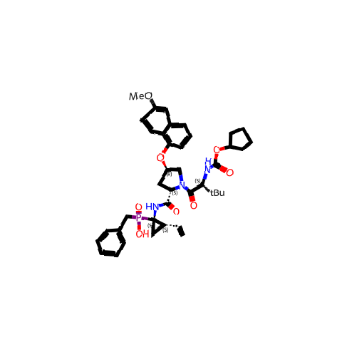 C=C[C@@H]1C[C@]1(NC(=O)[C@@H]1C[C@@H](Oc2cccc3cc(OC)ccc23)CN1C(=O)[C@@H](NC(=O)OC1CCCC1)C(C)(C)C)P(=O)(O)Cc1ccccc1